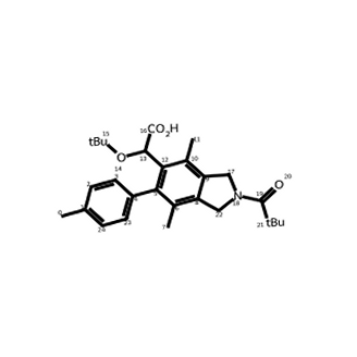 Cc1ccc(-c2c(C)c3c(c(C)c2C(OC(C)(C)C)C(=O)O)CN(C(=O)C(C)(C)C)C3)cc1